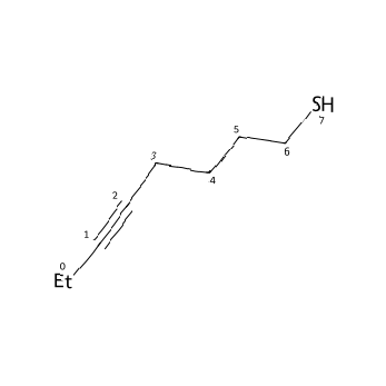 CCC#CCCCCS